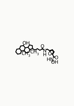 CC12CCC3C(C(O)CC4CCCCC43C)C1CCC2CCCC(=O)NCc1ccc(C(=O)NO)o1